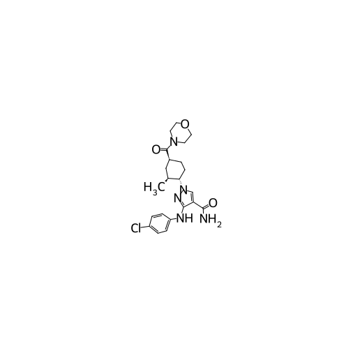 C[C@H]1C[C@@H](C(=O)N2CCOCC2)CC[C@@H]1n1cc(C(N)=O)c(Nc2ccc(Cl)cc2)n1